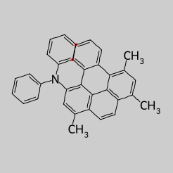 Cc1cc(C)c2c3ccccc3c3c(N(c4ccccc4)c4ccccc4)cc(C)c4ccc1c2c43